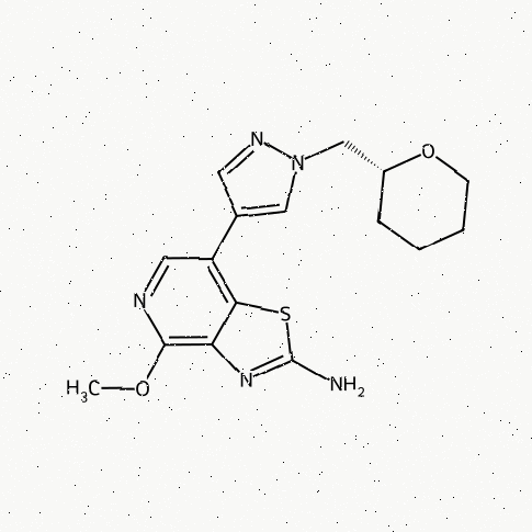 COc1ncc(-c2cnn(C[C@H]3CCCCO3)c2)c2sc(N)nc12